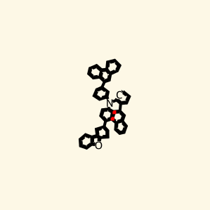 c1cc(-c2cc3ccccc3c3ccccc23)cc(N(c2ccc(-c3ccc4oc5ccccc5c4c3)cc2)c2ccccc2-c2ccc3ccccc3c2)c1